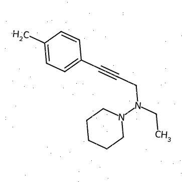 [CH2]c1ccc(C#CCN(CC)N2CCCCC2)cc1